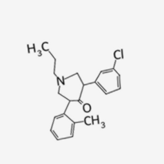 CCCN1CC(c2cccc(Cl)c2)C(=O)C(c2ccccc2C)C1